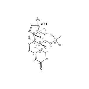 CC(=O)[C@@]1(O)C=C[C@H]2[C@@H]3CCC4=CC(=O)C=C[C@]4(C)[C@H]3C(O[Si](C)(C)C)C[C@@]21C